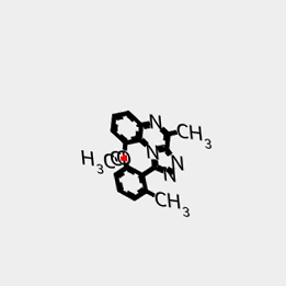 COc1cccc2nc(C)c3nnc(-c4c(C)cccc4Cl)n3c12